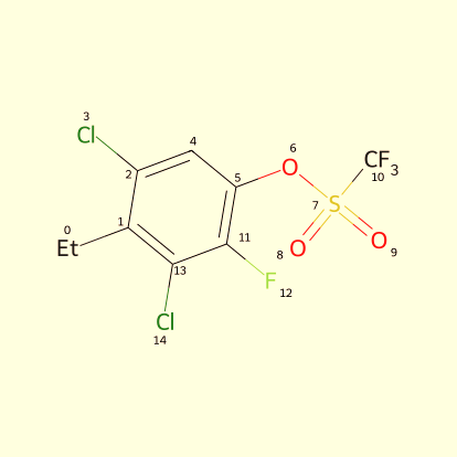 CCc1c(Cl)cc(OS(=O)(=O)C(F)(F)F)c(F)c1Cl